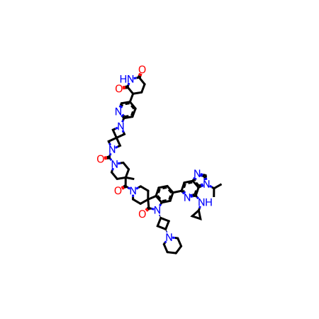 CC(C)n1cnc2cc(-c3ccc4c(c3)N([C@H]3C[C@@H](N5CCCCC5)C3)C(=O)C43CCN(C(=O)C4(C)CCN(C(=O)N5CC6(C5)CN(c5ccc(C7CCC(=O)NC7=O)cn5)C6)CC4)CC3)nc(NC3CC3)c21